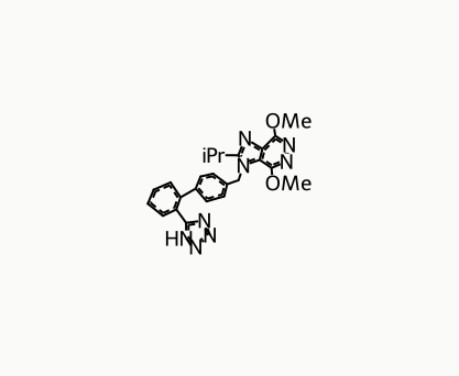 COc1nnc(OC)c2c1nc(C(C)C)n2Cc1ccc(-c2ccccc2-c2nnn[nH]2)cc1